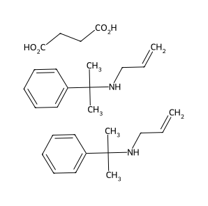 C=CCNC(C)(C)c1ccccc1.C=CCNC(C)(C)c1ccccc1.O=C(O)CCC(=O)O